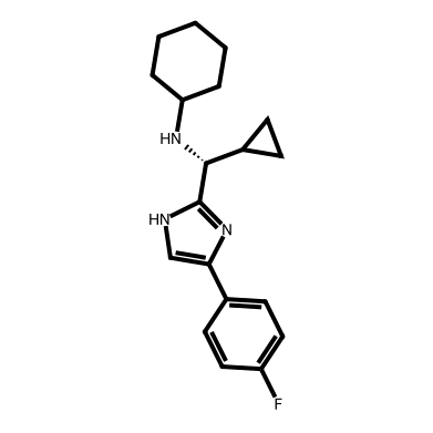 Fc1ccc(-c2c[nH]c([C@H](NC3CCCCC3)C3CC3)n2)cc1